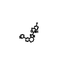 O=C(Nc1ccc(F)cc1F)c1nc2c(s1)-c1cc(-c3cccnc3)ccc1CCC2